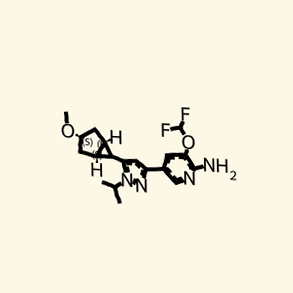 CO[C@H]1C[C@@H]2C(c3cc(-c4cnc(N)c(OC(F)F)c4)nn3C(C)C)[C@@H]2C1